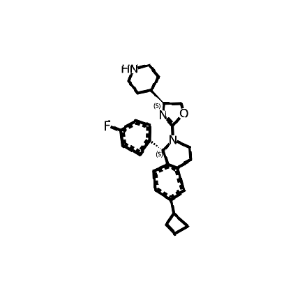 Fc1ccc([C@H]2c3ccc(C4CCC4)cc3CCN2C2=N[C@@H](C3CCNCC3)CO2)cc1